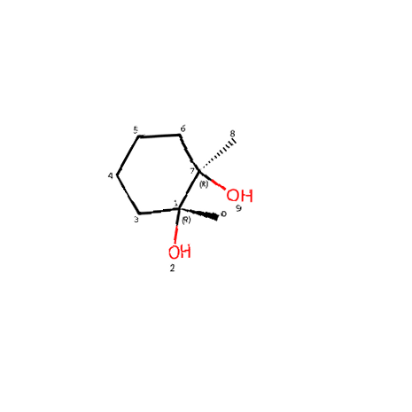 C[C@@]1(O)CCCC[C@@]1(C)O